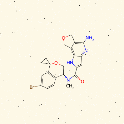 CN(C(=O)c1cc2nc(N)c3c(c2[nH]1)COC3)[C@@H]1COC2(CC2)c2cc(Br)ccc21